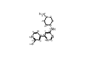 N[C@H]1CC[C@H](Nc2cc(-c3ccnc(F)c3)ncn2)CC1